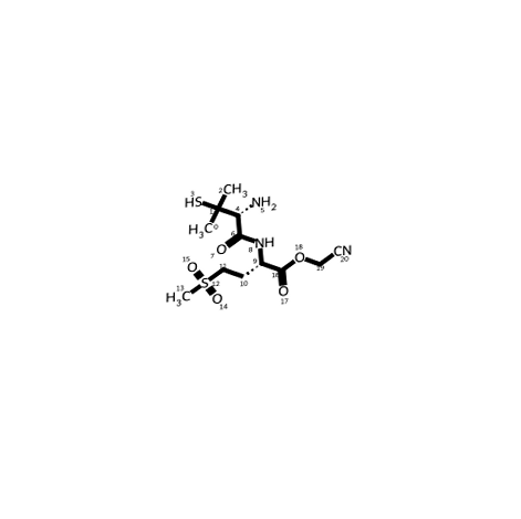 CC(C)(S)[C@H](N)C(=O)N[C@@H](CCS(C)(=O)=O)C(=O)OCC#N